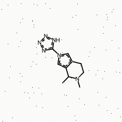 CC1c2cn(-c3nnn[nH]3)cc2CCN1C